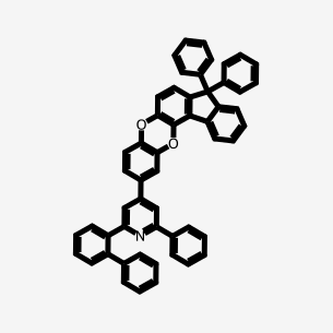 c1ccc(-c2cc(-c3ccc4c(c3)Oc3c(ccc5c3-c3ccccc3C5(c3ccccc3)c3ccccc3)O4)cc(-c3ccccc3-c3ccccc3)n2)cc1